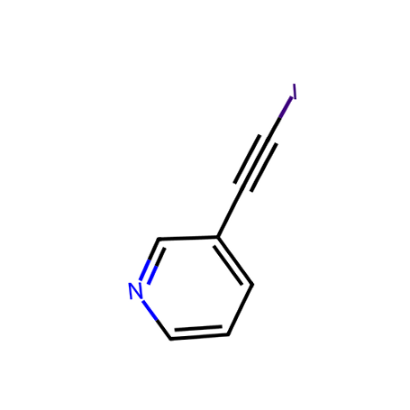 IC#Cc1cccnc1